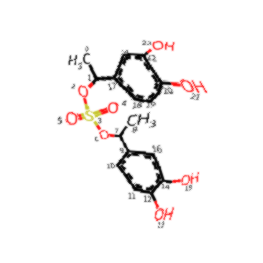 CC(OS(=O)(=O)OC(C)c1ccc(O)c(O)c1)c1ccc(O)c(O)c1